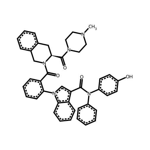 CN1CCN(C(=O)[C@@H]2Cc3ccccc3CN2C(=O)c2ccccc2-n2cc(C(=O)N(c3ccccc3)c3ccc(O)cc3)c3ccccc32)CC1